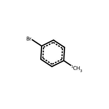 [1CH3]c1ccc(Br)cc1